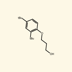 CC(C)(C)c1ccc(OCCCO)c(C(C)(C)C)c1